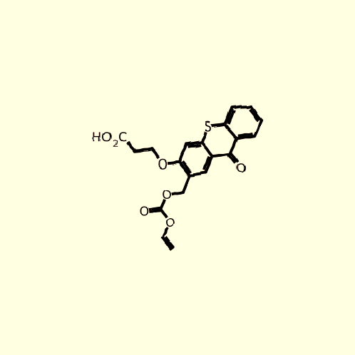 C=COC(=O)OCc1cc2c(=O)c3ccccc3sc2cc1OCCC(=O)O